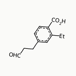 CCc1cc(CCC=O)ccc1C(=O)O